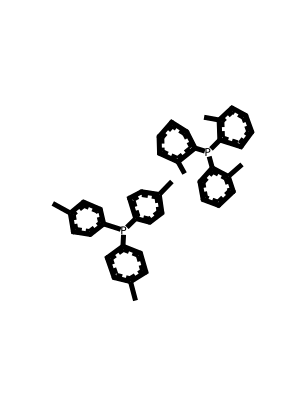 Cc1ccc(P(c2ccc(C)cc2)c2ccc(C)cc2)cc1.Cc1ccccc1P(c1ccccc1C)c1ccccc1C